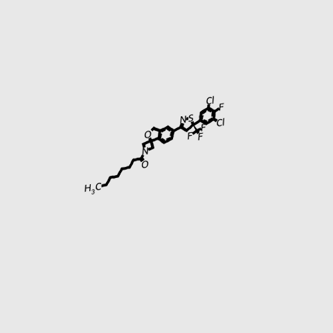 CCCCCCCC(=O)N1CC2(C1)OCc1cc(C3=NS[C@@](c4cc(Cl)c(F)c(Cl)c4)(C(F)(F)F)C3)ccc12